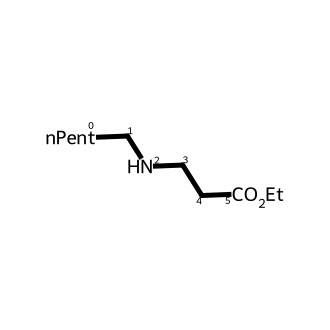 CCCCCCNCCC(=O)OCC